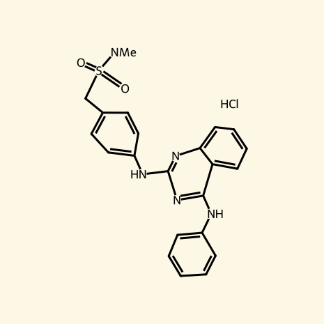 CNS(=O)(=O)Cc1ccc(Nc2nc(Nc3ccccc3)c3ccccc3n2)cc1.Cl